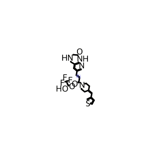 O=C(O)C(F)(F)F.O=C1CNCc2cc(/C=C/C(=O)N3CCC(=Cc4ccsc4)CC3)cnc2N1